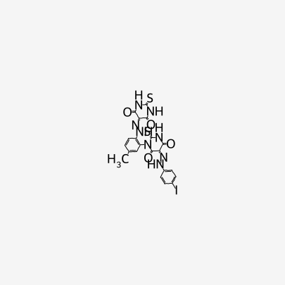 Cc1ccc(NN=C2C(=O)NC(=S)NC2=O)c(N2C(=O)/C(=N\Nc3ccc(I)cc3)C(=O)NC2=S)c1